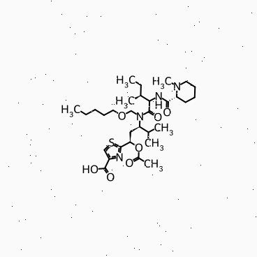 CCCCCOCN(C(=O)C(NC(=O)[C@H]1CCCCN1C)[C@@H](C)CC)[C@H](C[C@@H](OC(C)=O)c1nc(C(=O)O)cs1)C(C)C